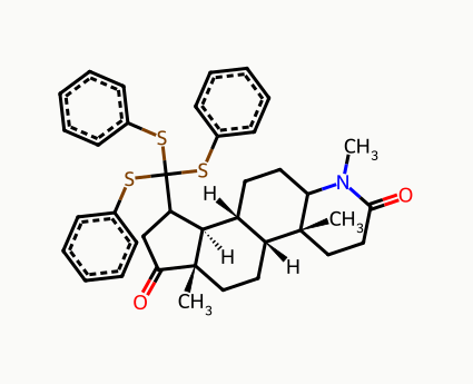 CN1C(=O)CC[C@@]2(C)C1CC[C@@H]1[C@H]2CC[C@]2(C)C(=O)CC(C(Sc3ccccc3)(Sc3ccccc3)Sc3ccccc3)[C@@H]12